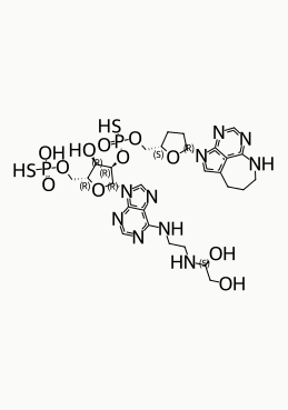 O=P(O)(S)OC[C@H]1O[C@@H](n2cnc3c(NCCN[C@@H](O)CO)ncnc32)[C@H](OP(=O)(S)OC[C@@H]2CC[C@H](n3cc4c5c(ncnc53)NCCC4)O2)[C@@H]1O